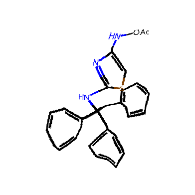 CC(=O)ONc1csc(NC(c2ccccc2)(c2ccccc2)c2ccccc2)n1